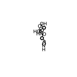 O=C(N[C@H]1Cc2cccc(C(=O)O)c2OB1O)c1cccc(CN2CCNCC2)c1